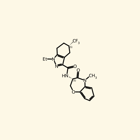 CCn1nc(C(=O)N[C@H]2COc3ccccc3N(C)C2=O)c2c1CC[C@H](C(F)(F)F)C2